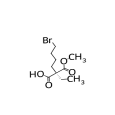 CC[C@@](CCCCBr)(C(=O)O)C(=O)OC